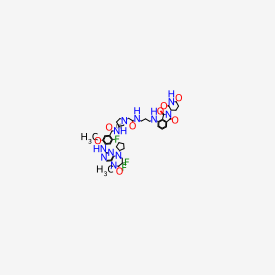 COc1cc(C(=O)N[C@H]2CCN(CC(=O)NCCCNc3cccc4c3C(=O)N(C3CCC(=O)NC3=O)C4=O)C2)c(F)cc1Nc1ncc2c(n1)N(C1CCCC1)CC(F)(F)C(=O)N2C